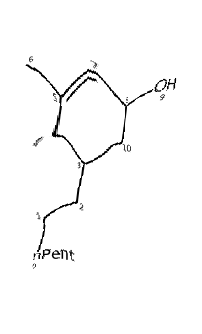 CCCCCCCC1CC(C)=CC(O)C1